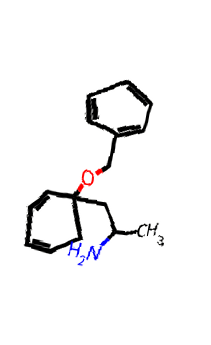 CC(N)CC1(OCc2ccccc2)C=CC=CC1